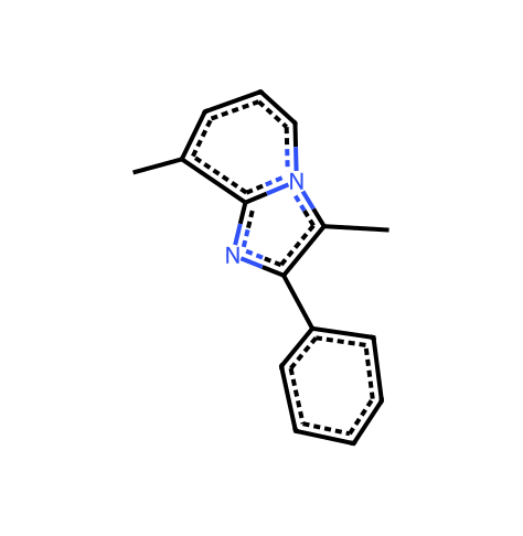 Cc1cccn2c(C)c(-c3ccccc3)nc12